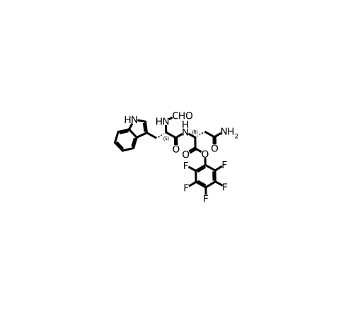 NC(=O)C[C@@H](NC(=O)[C@H](Cc1c[nH]c2ccccc12)NC=O)C(=O)Oc1c(F)c(F)c(F)c(F)c1F